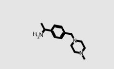 CC(N)c1ccc(CN2CCN(C)CC2)cc1